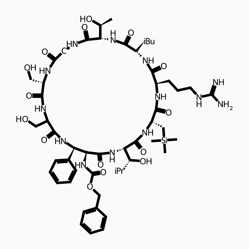 CC[C@H](C)[C@@H]1NC(=O)[C@@H](CCCNC(=N)N)NC(=O)[C@H](C[Si](C)(C)C)NC(=O)[C@H]([C@H](O)C(C)C)NC(=O)[C@@H](NC(=O)OCc2ccccc2)[C@@H](c2ccccc2)NC(=O)C(CO)NC(=O)[C@H](CO)NC(=O)CNC(=O)[C@H]([C@H](C)O)NC1=O